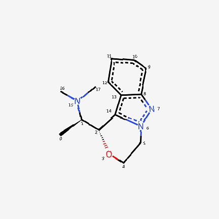 C[C@H]([C@H]1OCCn2nc3ccccc3c21)N(C)C